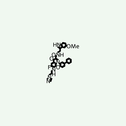 COc1ccc2[nH]cc(CCNC(=O)c3cn4c5c(c(NCCCn6ccnc6)c(F)cc5c3=O)Oc3ccc(-c5ccccc5)cc3-4)c2c1